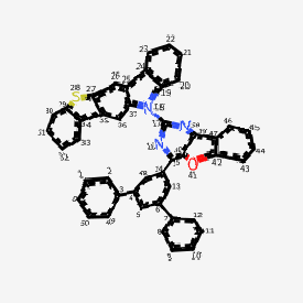 c1ccc(-c2cc(-c3ccccc3)cc(-c3nc(-n4c5ccccc5c5cc6sc7ccccc7c6cc54)nc4c3oc3ccccc34)c2)cc1